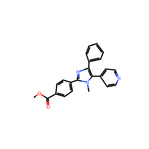 COC(=O)c1ccc(-c2nc(-c3ccccc3)c(-c3ccncc3)n2C)cc1